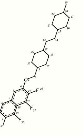 Cc1ccc2cc(OCC3CCC(CCC4CCC(C)CC4)CC3)c(F)c(F)c2c1F